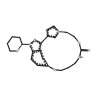 O=C1NCCCOc2ccc3c(c2)c(nn3C2CCCCO2)-c2ccn(c2)CCO1